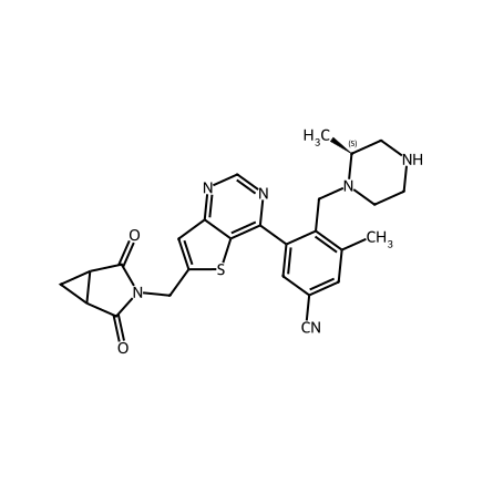 Cc1cc(C#N)cc(-c2ncnc3cc(CN4C(=O)C5CC5C4=O)sc23)c1CN1CCNC[C@@H]1C